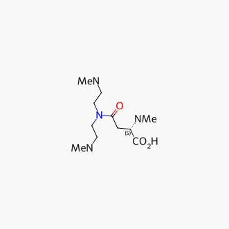 CNCCN(CCNC)C(=O)C[C@H](NC)C(=O)O